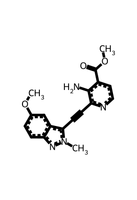 COC(=O)c1ccnc(C#Cc2c3cc(OC)ccc3nn2C)c1N